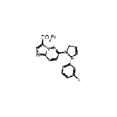 CCOC(=O)c1cnc2ccc(N3CC=C[C@@H]3c3cccc(F)c3)nn12